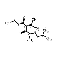 CCCC(=O)C(C(=O)[C@@H](C)CCC(C)C)=C(O)O